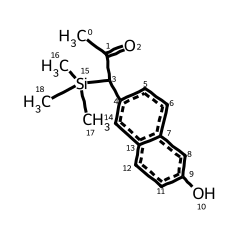 CC(=O)C(c1ccc2cc(O)ccc2c1)[Si](C)(C)C